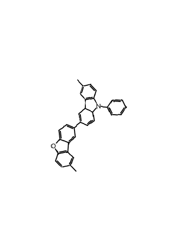 Cc1ccc2c(c1)C1C=C(c3ccc4oc5ccc(C)cc5c4c3)C=CC1N2c1ccccc1